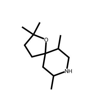 CC1CC2(CCC(C)(C)O2)C(C)CN1